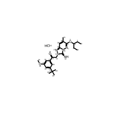 CCC(CC)Oc1nn2c(=N)n(CC(=O)c3cc(OC)cc(C(C)(C)C)c3)nc2cc1C.Cl